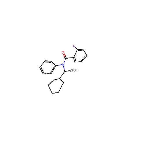 O=C(O)C(C1CCCCC1)N(C(=O)c1ccccc1I)c1ccccc1